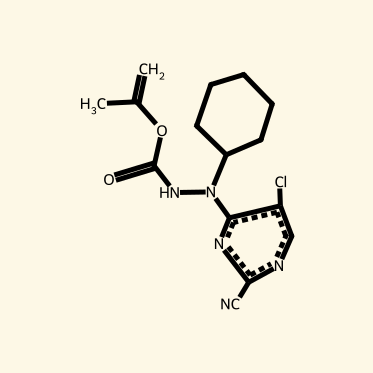 C=C(C)OC(=O)NN(c1nc(C#N)ncc1Cl)C1CCCCC1